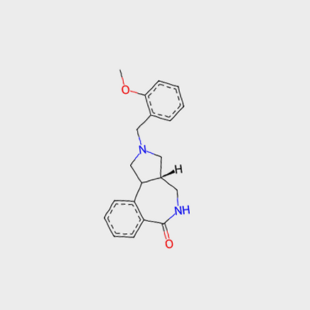 COc1ccccc1CN1CC2c3ccccc3C(=O)NC[C@H]2C1